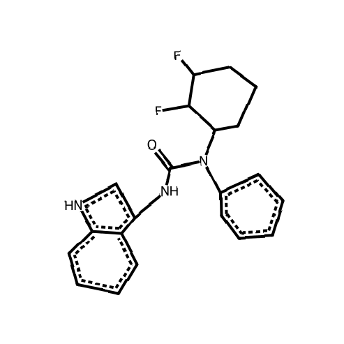 O=C(Nc1c[nH]c2ccccc12)N(c1ccccc1)C1CCCC(F)C1F